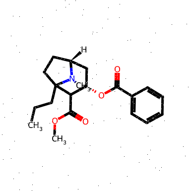 CCCC12CC[C@H](C[C@H](OC(=O)c3ccccc3)C1C(=O)OC)N2C